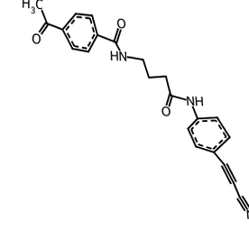 CC(=O)c1ccc(C(=O)NCCCC(=O)Nc2ccc(C#CC#N)cc2)cc1